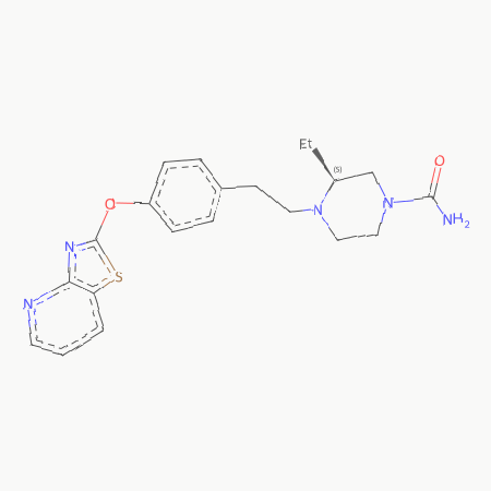 CC[C@H]1CN(C(N)=O)CCN1CCc1ccc(Oc2nc3ncccc3s2)cc1